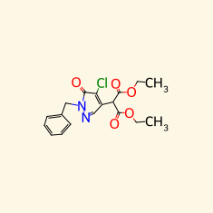 CCOC(=O)C(C(=O)OCC)c1cnn(Cc2ccccc2)c(=O)c1Cl